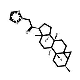 C[C@H]1CC[C@@H]2[C@H]3CC[C@]4(C)[C@@H](C(=O)Cn5nccn5)CC[C@H]4[C@@H]3CCC23CC13